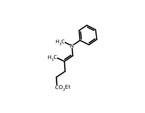 CCOC(=O)CC/C(C)=C/N(C)c1ccccc1